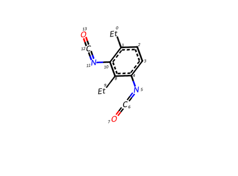 CCc1ccc(N=C=O)c(CC)c1N=C=O